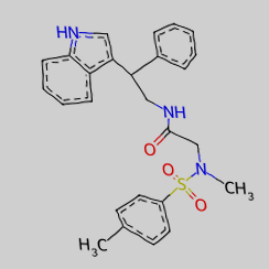 Cc1ccc(S(=O)(=O)N(C)CC(=O)NCC(c2ccccc2)c2c[nH]c3ccccc23)cc1